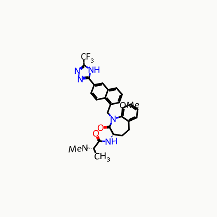 CN[C@@H](C)C(=O)N[C@H]1CCc2ccccc2N(Cc2c(OC)ccc3cc(-c4nnc(C(F)(F)F)[nH]4)ccc23)C1=O